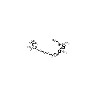 CCCCCNc1nc(N)nc2ccn(Cc3ccc(CN4CCN(C(=O)CCOCCOCCOCCNC(=O)C[C@H](SCC(N)C(=O)O)C(=O)O)CC4)cc3OC)c12